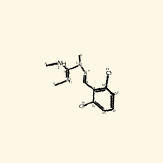 CN=C(NC)N(C)N=Cc1c(Cl)cccc1Cl